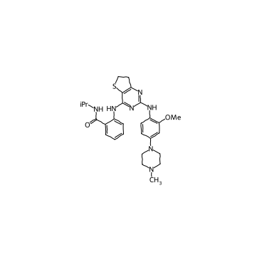 COc1cc(N2CCN(C)CC2)ccc1Nc1nc2c(c(Nc3ccccc3C(=O)NC(C)C)n1)SCC2